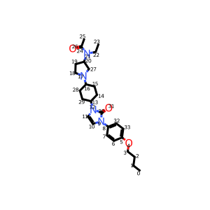 CCCCOc1ccc(-n2ccn(C3CCC(N4CCC(N(CC)C(C)=O)C4)CC3)c2=O)cc1